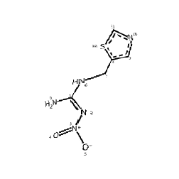 NC(=N[N+](=O)[O-])NCc1cncs1